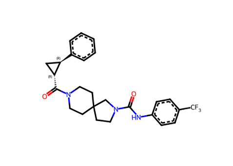 O=C(Nc1ccc(C(F)(F)F)cc1)N1CCC2(CCN(C(=O)[C@@H]3C[C@H]3c3ccccc3)CC2)C1